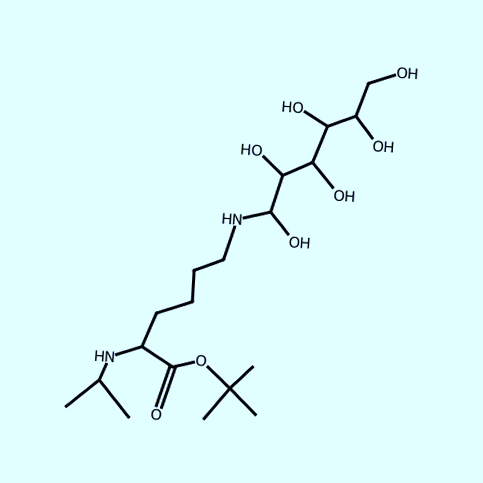 CC(C)NC(CCCCNC(O)C(O)C(O)C(O)C(O)CO)C(=O)OC(C)(C)C